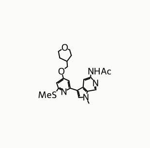 CSc1cc(OCC2CCOCC2)cc(-c2cn(C)c3cnc(NC(C)=O)cc23)n1